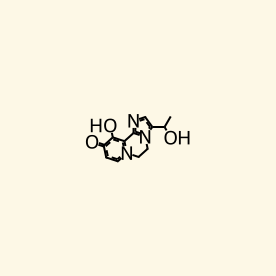 CC(O)c1cnc2n1CCn1ccc(=O)c(O)c1-2